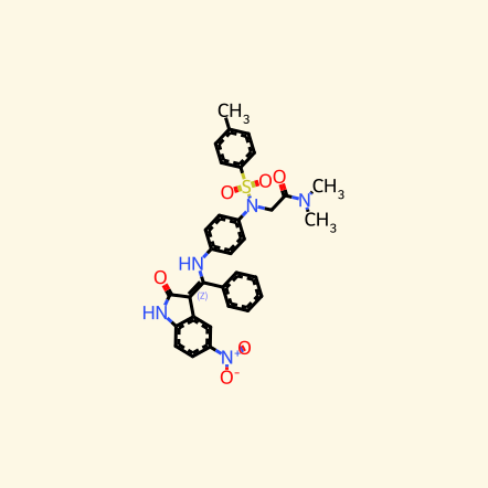 Cc1ccc(S(=O)(=O)N(CC(=O)N(C)C)c2ccc(N/C(=C3\C(=O)Nc4ccc([N+](=O)[O-])cc43)c3ccccc3)cc2)cc1